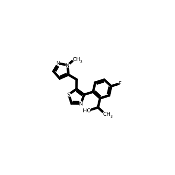 CC(O)c1cc(F)ccc1-c1ncsc1Cc1ccnn1C